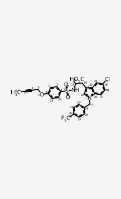 CC#CCOc1ccc(S(=O)(=O)NC(Cc2cn(Cc3ccc(C(F)(F)F)cc3)c3ccc(Cl)cc23)C(=O)O)cc1